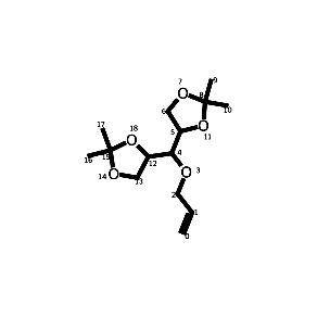 C=CCOC(C1COC(C)(C)O1)C1COC(C)(C)O1